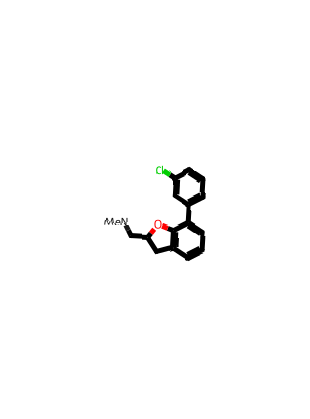 CNCC1Cc2cccc(-c3cccc(Cl)c3)c2O1